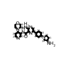 Nc1ncc(-c2ccc(N3CC[C@@H](N)C3)cc2)nc1C(=O)Nc1cnccc1N1CCOCC1